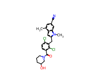 Cc1cc(C#N)cc2c1cc(Cc1c(Cl)ccc(C(=O)N3CCCC(O)C3)c1Cl)n2C